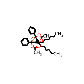 CCCCCCC#CC(OC(C)=O)(SC(C#CCCCCCC)(OC(C)=O)c1ccccc1)c1ccccc1